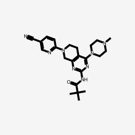 CN1CCN(c2nc(NC(=O)C(C)(C)C)nc3c2CCN(c2ccc(C#N)cn2)C3)CC1